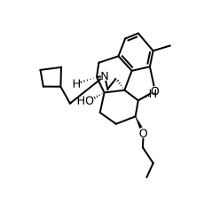 CCCO[C@H]1CC[C@@]2(O)[C@H]3Cc4ccc(C)c5c4[C@@]2(CCN3CC2CCC2)[C@H]1O5